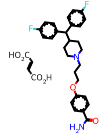 NC(=O)c1ccc(OCCCN2CCC(C(c3ccc(F)cc3)c3ccc(F)cc3)CC2)cc1.O=C(O)C=CC(=O)O